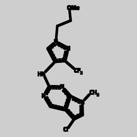 COCCn1cc(Nc2ncc3c(Cl)cn(C)c3n2)c(C(F)(F)F)n1